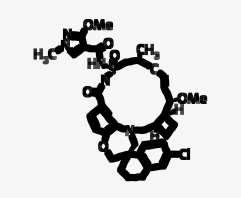 COc1nn(C)cc1C(=O)N[S@]1(=O)=NC(=O)c2ccc3c(c2)N(C[C@@H]2CC[C@H]2[C@@H](OC)/C=C/C[C@H](C)C1)C[C@@]1(CCCc2cc(Cl)ccc21)CO3